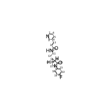 O=C(/C=C/c1cccnc1)NCC[C@H]1[C@@H]2CN(c3ccc(F)cc3)C(=O)[C@H]12